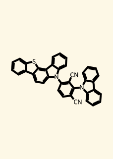 N#Cc1ccc(-n2c3ccccc3c3c4sc5ccccc5c4ccc32)c(C#N)c1-n1c2ccccc2c2ccccc21